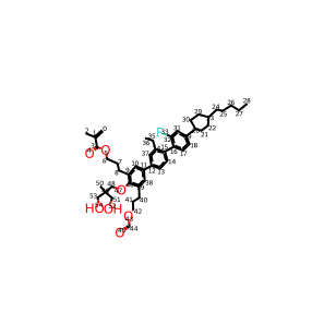 C=C(C)C(=O)OCCCc1cc(-c2ccc(-c3ccc(C4CCC(CCCCC)CC4)cc3F)c(CC)c2)cc(CCCOC=O)c1OCC(C)(CO)CO